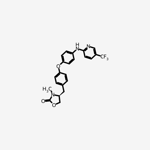 CN1C(=O)OC[C@@H]1Cc1ccc(Oc2ccc(Nc3ccc(C(F)(F)F)cn3)cc2)cc1